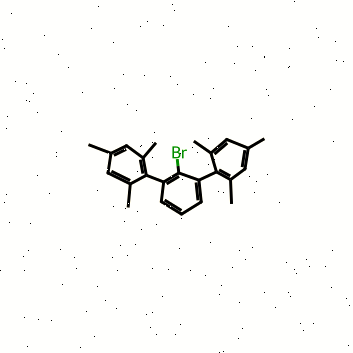 Cc1cc(C)c(-c2cccc(-c3c(C)cc(C)cc3C)c2Br)c(C)c1